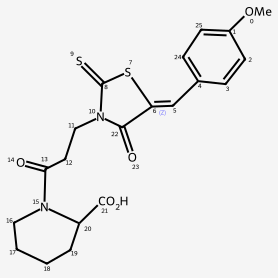 COc1ccc(/C=C2\SC(=S)N(CCC(=O)N3CCCCC3C(=O)O)C2=O)cc1